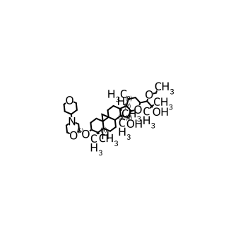 CCOC(C1C[C@@H](C)[C@H]2C(O1)[C@H](O)[C@@]1(C)C3CC[C@H]4C(C)(C)C(O[C@H]5CN(C6CCOCC6)CCO5)CCC45CC35CCC21C)C(C)(C)O